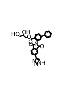 O=C(OCC(O)CO)c1ccc(-c2ccccc2)cc1N1C(=O)c2ccc(-c3c[nH]nn3)cc2C1=O